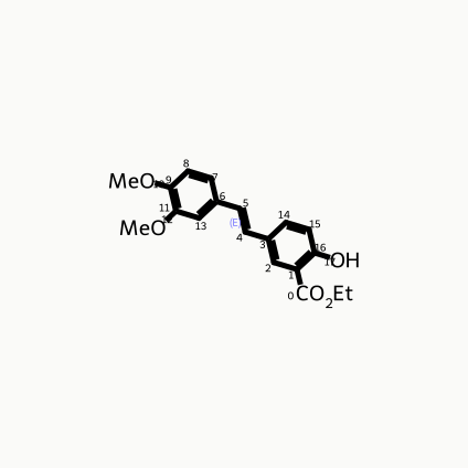 CCOC(=O)c1cc(/C=C/c2ccc(OC)c(OC)c2)ccc1O